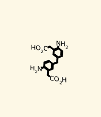 Nc1ccc(Cc2ccc(N)c(CC(=O)O)c2)cc1CC(=O)O